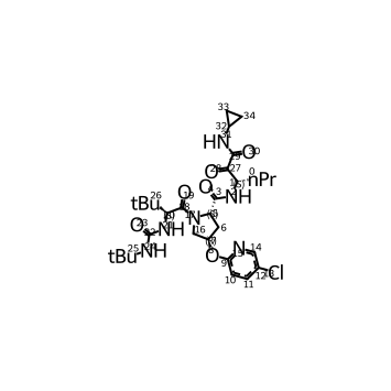 CCC[C@H](NC(=O)[C@@H]1C[C@@H](Oc2ccc(Cl)cn2)CN1C(=O)[C@@H](NC(=O)NC(C)(C)C)C(C)(C)C)C(=O)C(=O)NC1CC1